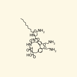 CCCCCCCCCC(=O)N[C@@H](CCN)C(=O)N(C)[C@@H]1C(=O)N[C@@H](C)C(=O)N[C@H](C(=O)O)Cc2ccc(OCCN)c(c2)-c2cc1ccc2OCCN